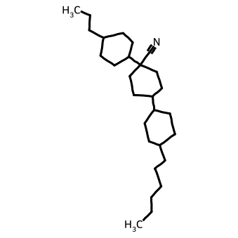 CCCCCCC1CCC(C2CCC(C#N)(C3CCC(CCC)CC3)CC2)CC1